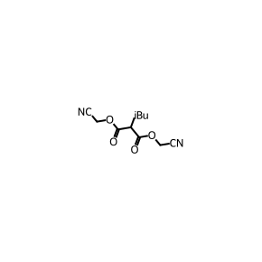 CCC(C)C(C(=O)OCC#N)C(=O)OCC#N